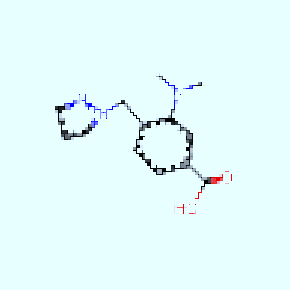 CN(C)c1cc(C(=O)O)ccc1Cn1cccn1